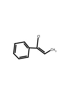 C/C=C(\Cl)c1[c]cc[c]c1